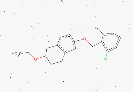 CCc1cccc(Cl)c1COc1ccc2c(c1)CCC(OCC(=O)O)C2